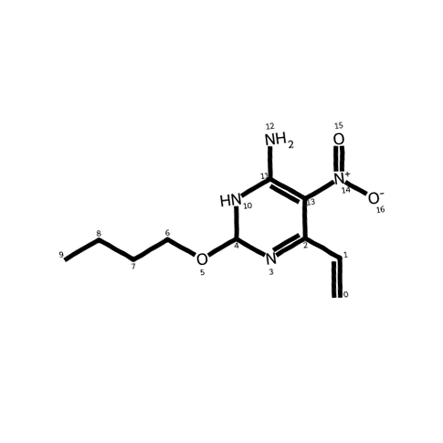 C=CC1=NC(OCCCC)NC(N)=C1[N+](=O)[O-]